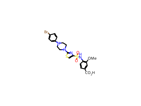 COc1cc(C(=O)O)ccc1NS(=O)(=O)c1csc(N2CCN(c3ccc(Br)cc3)CC2)n1